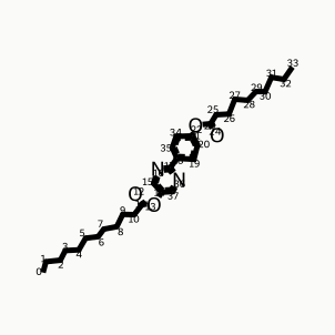 CCCCCCCCCCCC(=O)Oc1cnc(-c2ccc(OC(=O)CCCCCCCCC)cc2)nc1